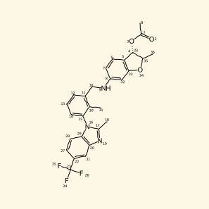 CC(=O)O[C@H]1c2ccc(NCc3cccc(-n4c(C)nc5cc(C(F)(F)F)ccc54)c3C)cc2OC1C